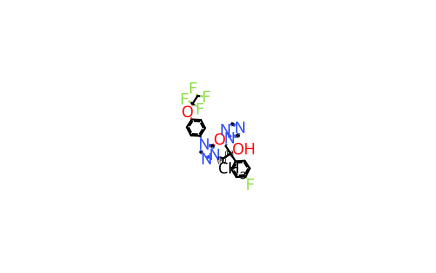 C[C@@H](n1ncn(-c2ccc(OC(F)(F)C(F)F)cc2)c1=O)[C@](O)(Cn1cncn1)c1ccc(F)cc1